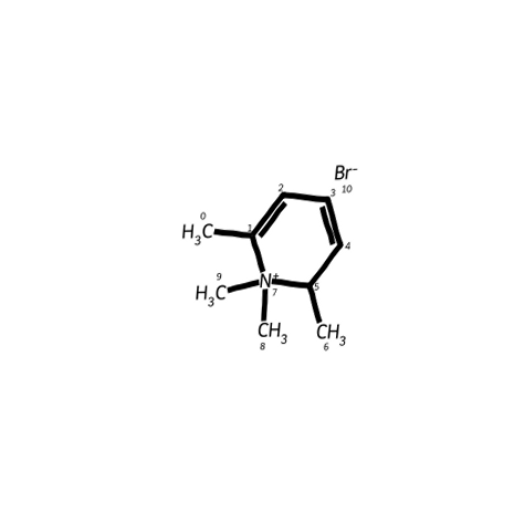 CC1=CC=CC(C)[N+]1(C)C.[Br-]